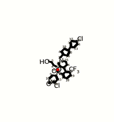 O=S(=O)(CCCO)N(c1cc[n+]([O-])c(Cl)c1)c1cccc(C(F)(F)F)c1C1CCN(Cc2ccc(-c3ccc(Cl)cc3)cc2)CC1